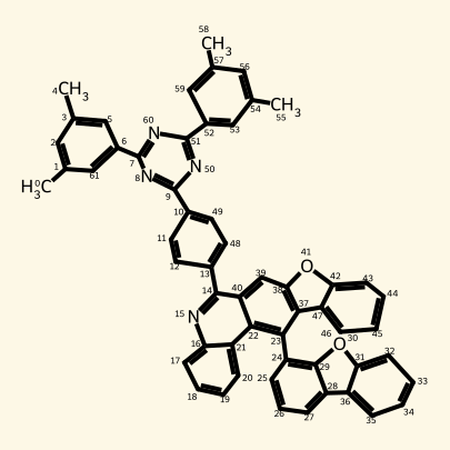 Cc1cc(C)cc(-c2nc(-c3ccc(-c4nc5ccccc5c5c(-c6cccc7c6oc6ccccc67)c6c(cc45)oc4ccccc46)cc3)nc(-c3cc(C)cc(C)c3)n2)c1